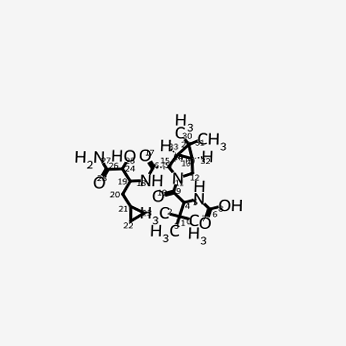 CC(C)(C)C(NC(=O)O)C(=O)N1C[C@H]2[C@@H]([C@H]1C(=O)NC(CC1CC1)C(O)C(N)=O)C2(C)C